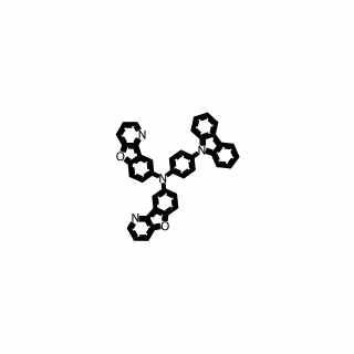 c1cnc2c(c1)oc1ccc(N(c3ccc(-n4c5ccccc5c5ccccc54)cc3)c3ccc4oc5cccnc5c4c3)cc12